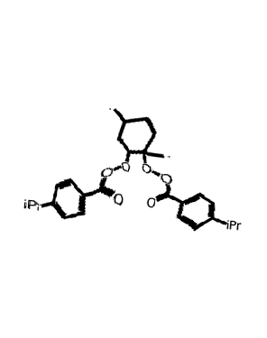 [CH2]C1CCC([CH2])(OOC(=O)c2ccc(C(C)C)cc2)C(OOC(=O)c2ccc(C(C)C)cc2)C1